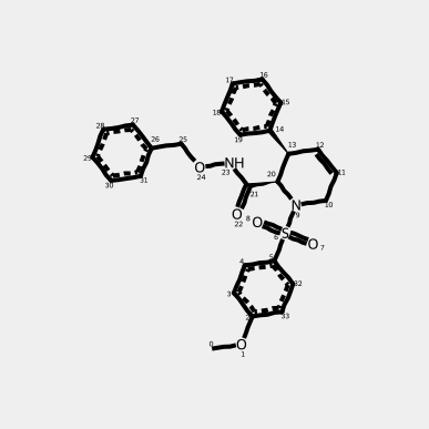 COc1ccc(S(=O)(=O)N2CC=C[C@H](c3ccccc3)[C@@H]2C(=O)NOCc2ccccc2)cc1